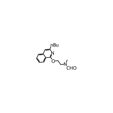 CCCCc1cc2ccccc2c(OCCN(C)C=O)n1